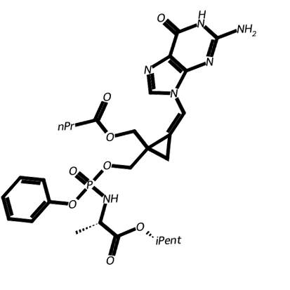 CCCC(=O)OCC1(COP(=O)(N[C@@H](C)C(=O)O[C@@H](C)CCC)Oc2ccccc2)C/C1=C/n1cnc2c(=O)[nH]c(N)nc21